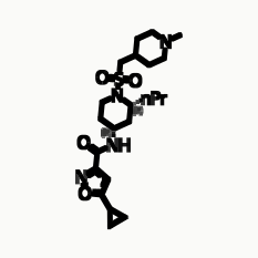 CCC[C@@H]1C[C@H](NC(=O)c2cc(C3CC3)on2)CCN1S(=O)(=O)CC1CCN(C)CC1